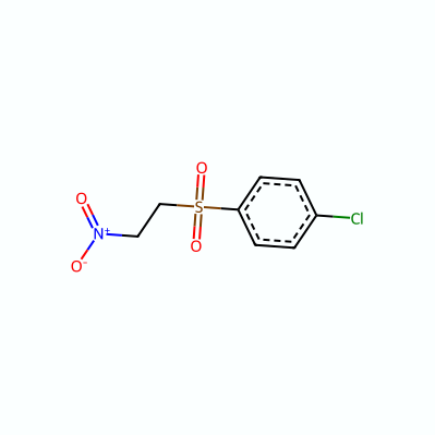 O=[N+]([O-])CCS(=O)(=O)c1ccc(Cl)cc1